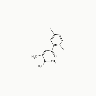 CC(=CC(=O)c1cc(F)ccc1F)N(C)C